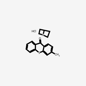 C1CN2CCC12.Cc1ccc2c(=O)c3ccccc3sc2c1.Cl